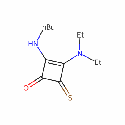 CCCCNc1c(N(CC)CC)c(=S)c1=O